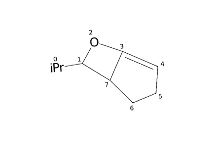 CC(C)C1OC2=CCCC21